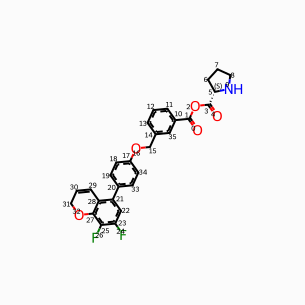 O=C(OC(=O)[C@@H]1CCCN1)c1cccc(COc2ccc(-c3cc(F)c(F)c4c3C=CCO4)cc2)c1